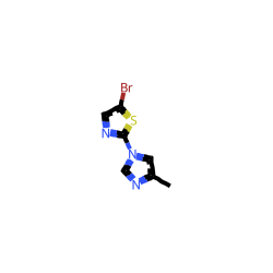 Cc1cn(-c2ncc(Br)s2)cn1